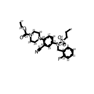 CCCS(=O)(=O)N(Cc1ccccc1F)c1ccc(N2CCN(C(=O)OCC)CC2)c(C#N)c1